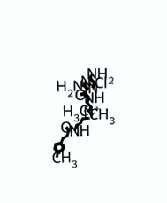 Cc1ccc(CCC(=O)NCCCC[N+](C)(C)CCNC(=O)c2nc(Cl)c(N)nc2N)cc1